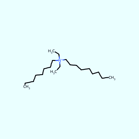 CCCCCCCCC[N+](CC)(CC)CCCCCCCC